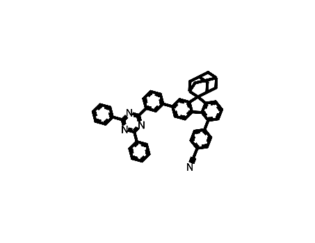 N#Cc1ccc(-c2cccc3c2-c2ccc(-c4cccc(-c5nc(-c6ccccc6)nc(-c6ccccc6)n5)c4)cc2C32C3CC4CC(C3)CC2C4)cc1